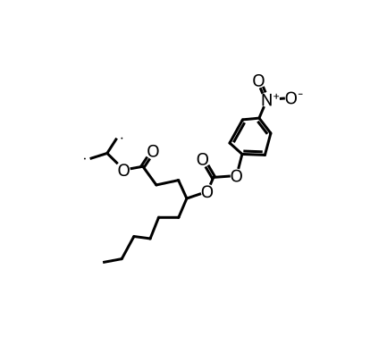 [CH2]C([CH2])OC(=O)CCC(CCCCCC)OC(=O)Oc1ccc([N+](=O)[O-])cc1